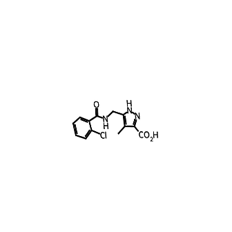 Cc1c(C(=O)O)n[nH]c1CNC(=O)c1ccccc1Cl